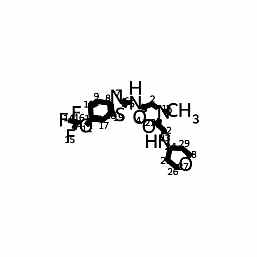 CN(CC(=O)Nc1nc2ccc(OC(F)(F)F)cc2s1)C(=O)CNC1CCOCC1